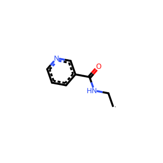 [CH2]CNC(=O)c1cccnc1